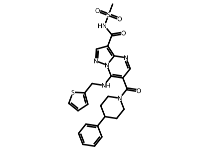 CS(=O)(=O)NC(=O)c1cnn2c(NCc3cccs3)c(C(=O)N3CCC(c4ccccc4)CC3)cnc12